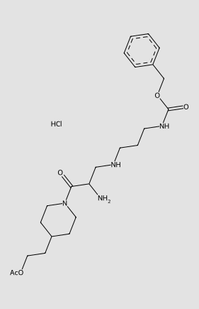 CC(=O)OCCC1CCN(C(=O)C(N)CNCCCNC(=O)OCc2ccccc2)CC1.Cl